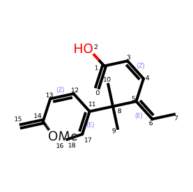 C=C(O)/C=C\C(=C/C)C(C)(C)C(/C=C\C(=C)OC)=C/C